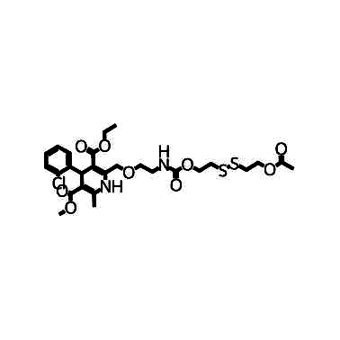 CCOC(=O)C1=C(COCCNC(=O)OCCSSCCOC(C)=O)NC(C)=C(C(=O)OC)C1c1ccccc1Cl